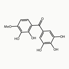 COc1ccc(C(=O)c2cc(O)c(O)c(O)c2)c(O)c1O